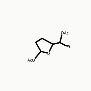 CCC(OC(C)=O)C1CCC(OC(C)=O)O1